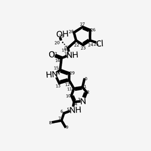 Cc1cnc(NCC(C)C)cc1-c1c[nH]c(C(=O)N[C@H](CO)C2C=C(Cl)C=CC2)c1